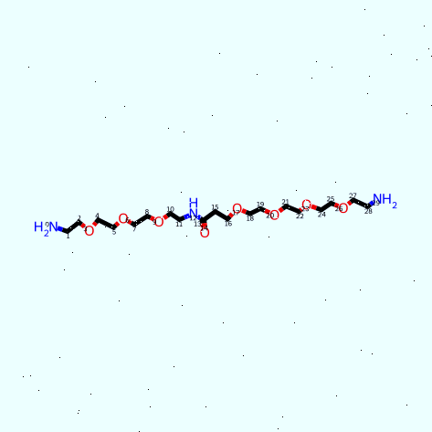 NCCOCCOCCOCCNC(=O)CCOCCOCCOCCOCCN